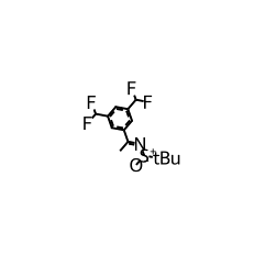 CC(=N[S+]([O-])C(C)(C)C)c1cc(C(F)F)cc(C(F)F)c1